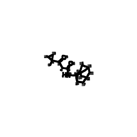 CC1(C(=O)CC(=O)NC2C3CC4CC(C3)CC2C4)CC1